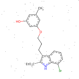 CCOC(=O)c1[nH]c2c(Br)cccc2c1CCCOc1cc(C)cc(O)c1